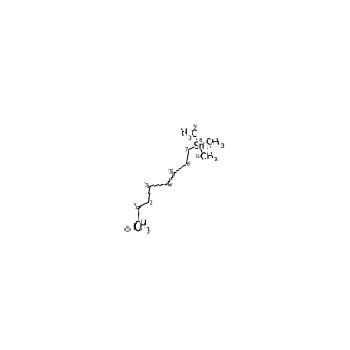 CCCCCCC[CH2][Sn]([CH3])([CH3])[CH3]